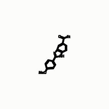 CCC(=O)c1ccc2[nH]c(-c3ccc(OC)cc3)nc2c1